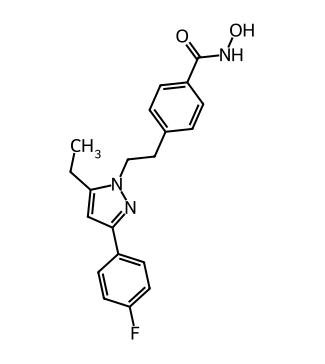 CCc1cc(-c2ccc(F)cc2)nn1CCc1ccc(C(=O)NO)cc1